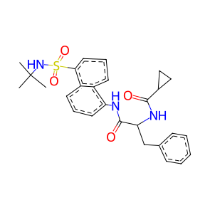 CC(C)(C)NS(=O)(=O)c1cccc2c(NC(=O)C(Cc3ccccc3)NC(=O)C3CC3)cccc12